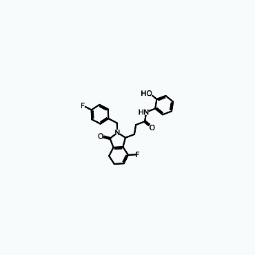 O=C(CCC1C2=C(CCC=C2F)C(=O)N1Cc1ccc(F)cc1)Nc1ccccc1O